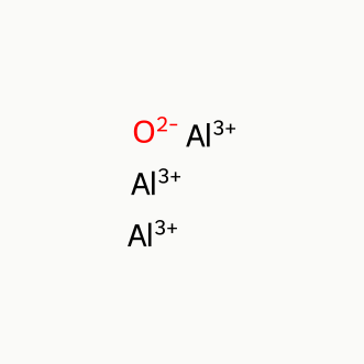 [Al+3].[Al+3].[Al+3].[O-2]